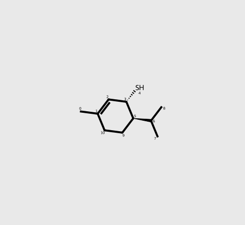 CC1=C[C@H](S)[C@@H](C(C)C)CC1